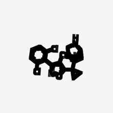 O=C(O)c1c(-c2c(Cl)cccc2Cl)noc1C1(C2CC3CC2CN3)CC1